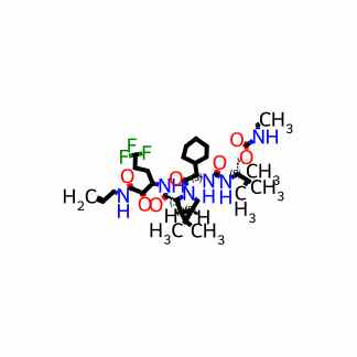 C=CCNC(=O)C(=O)C(CCC(F)(F)F)NC(=O)[C@@H]1[C@@H]2[C@H](CN1C(=O)[C@@H](NC(=O)N[C@H](COC(=O)NCC)C(C)(C)C)C1CCCCC1)C2(C)C